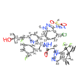 Cn1nc(NS(C)(=O)=O)c2c(Cl)ccc(-c3ccc(C#CC(C)(C)O)nc3[C@H](Cc3cc(F)cc(F)c3)NC(=O)Cn3ncc4c3C(F)(F)[C@@H]3C[C@H]43)c21